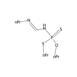 CCCN=CNP(=S)(OCCC)SCCC